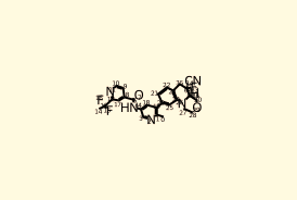 Cc1ncc(NC(=O)c2ccnc(C(C)(F)F)c2)cc1-c1ccc2c(c1)N1CCOC[C@H]1[C@](F)(C#N)C2